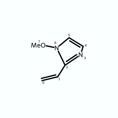 C=Cc1nccn1OC